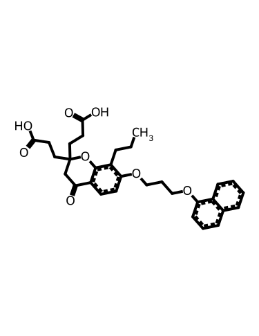 CCCc1c(OCCCOc2cccc3ccccc23)ccc2c1OC(CCC(=O)O)(CCC(=O)O)CC2=O